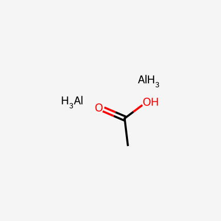 CC(=O)O.[AlH3].[AlH3]